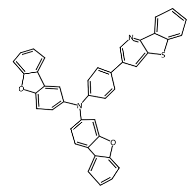 c1ccc2c(c1)oc1cc(N(c3ccc(-c4cnc5c(c4)sc4ccccc45)cc3)c3ccc4oc5ccccc5c4c3)ccc12